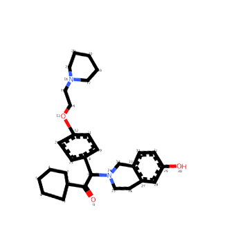 O=C(C1CCCCC1)C(c1ccc(OCCN2CCCCC2)cc1)N1CCc2cc(O)ccc2C1